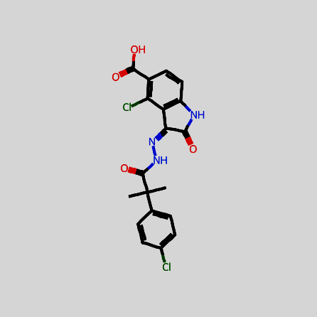 CC(C)(C(=O)NN=C1C(=O)Nc2ccc(C(=O)O)c(Cl)c21)c1ccc(Cl)cc1